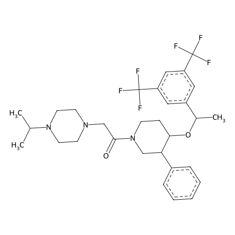 CC(OC1CCN(C(=O)CN2CCN(C(C)C)CC2)CC1c1ccccc1)c1cc(C(F)(F)F)cc(C(F)(F)F)c1